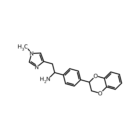 Cn1cnc(CC(N)c2ccc(C3COc4ccccc4O3)cc2)c1